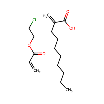 C=C(CCCCCCCC)C(=O)O.C=CC(=O)OCCCl